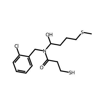 CSCCCC(O)N(Cc1ccccc1Cl)C(=O)CCS